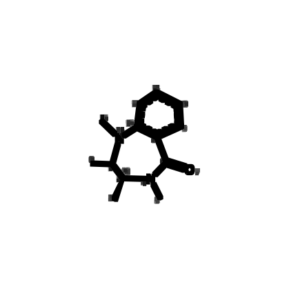 CC1[C@H](C)N(C)C(=O)c2ccccc2N1C